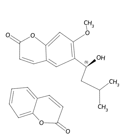 COc1cc2oc(=O)ccc2cc1[C@@H](O)CC(C)C.O=c1ccc2ccccc2o1